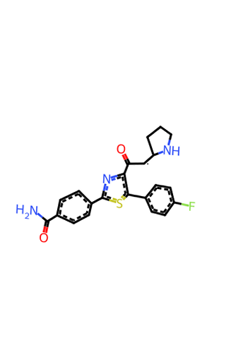 NC(=O)c1ccc(-c2nc(C(=O)[CH]C3CCCN3)c(-c3ccc(F)cc3)s2)cc1